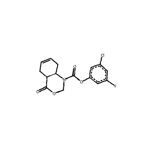 O=C1OCN(C(=O)Oc2cc(F)cc(Cl)c2)C2CC=CCC12